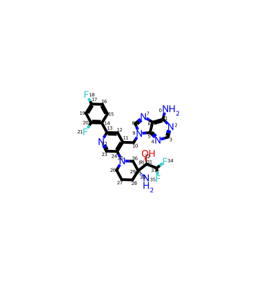 Nc1ncnc2c1ncn2Cc1cc(-c2ccc(F)cc2F)ncc1N1CCC[C@](N)([C@@H](O)C(F)F)C1